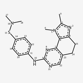 Cc1nc2c(n1C)-c1nc(Nc3ccc(SN(C)C)cc3)ncc1CC2